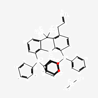 C=CCc1ccc(P(c2ccccc2)c2ccccc2)c2c1C(C)(C)c1cccc(P(c3ccccc3)c3ccccc3)c1O2.[Cl][Pd][Cl]